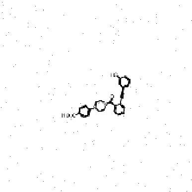 O=C(O)c1ccc(N2CCN(C(=O)c3ccccc3C#Cc3cccc(O)c3)CC2)cc1